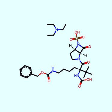 CC(C)(C)[C@](CCCCNC(=O)OCc1ccccc1)(NC(=O)O)C(=O)N1CC[C@@H]2[C@H]1C(=O)N2S(=O)(=O)O.CCN(CC)CC